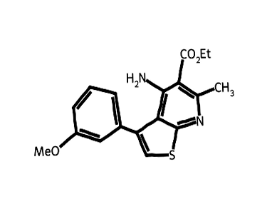 CCOC(=O)c1c(C)nc2scc(-c3cccc(OC)c3)c2c1N